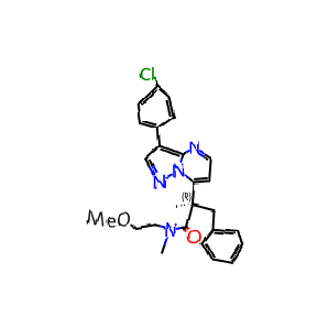 COCCN(C)C(=O)[C@](C)(Cc1ccccc1)c1ccnc2c(-c3ccc(Cl)cc3)cnn12